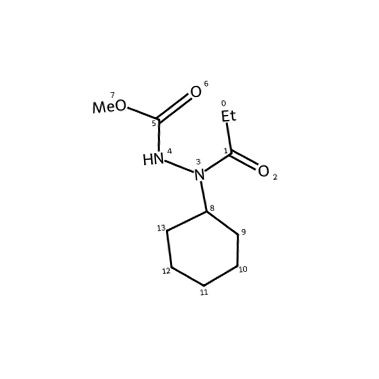 CCC(=O)N(NC(=O)OC)C1CCCCC1